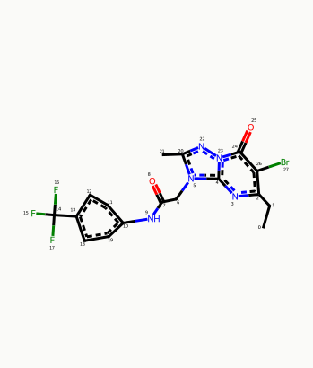 CCc1nc2n(CC(=O)Nc3ccc(C(F)(F)F)cc3)c(C)nn2c(=O)c1Br